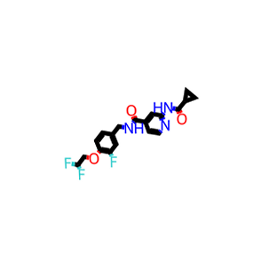 O=C(NCc1ccc(OCC(F)F)c(F)c1)c1ccnc(NC(=O)C2CC2)c1